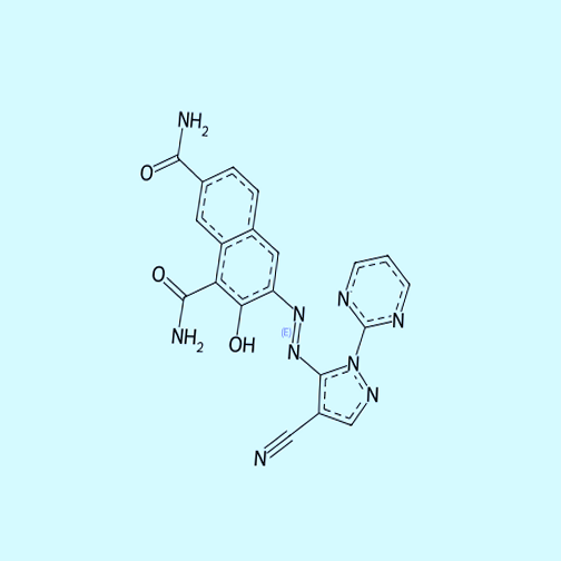 N#Cc1cnn(-c2ncccn2)c1/N=N/c1cc2ccc(C(N)=O)cc2c(C(N)=O)c1O